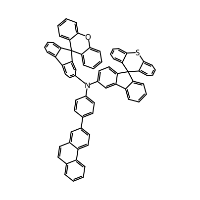 c1ccc2c(c1)Oc1ccccc1C21c2ccccc2-c2ccc(N(c3ccc(-c4ccc5c(ccc6ccccc65)c4)cc3)c3ccc4c(c3)-c3ccccc3C43c4ccccc4Sc4ccccc43)cc21